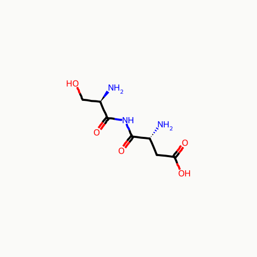 N[C@H](CO)C(=O)NC(=O)[C@H](N)CC(=O)O